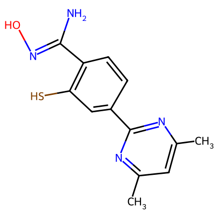 Cc1cc(C)nc(-c2ccc(C(N)=NO)c(S)c2)n1